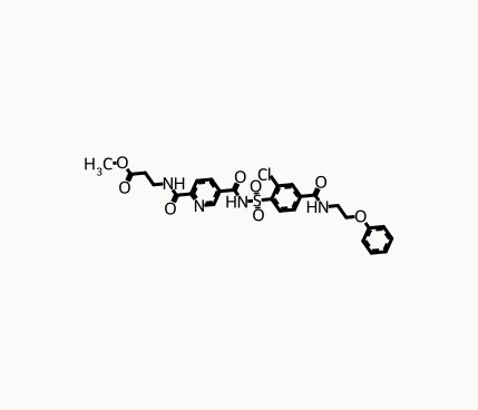 COC(=O)CCNC(=O)c1ccc(C(=O)NS(=O)(=O)c2ccc(C(=O)NCCOc3ccccc3)cc2Cl)cn1